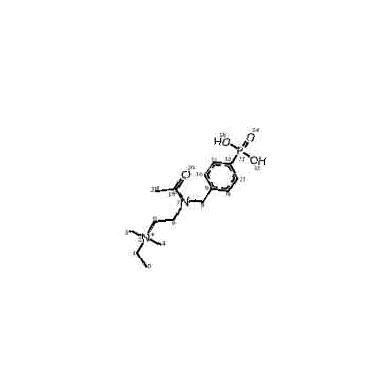 CC[N+](C)(C)CCN(Cc1ccc(P(=O)(O)O)cc1)C(C)=O